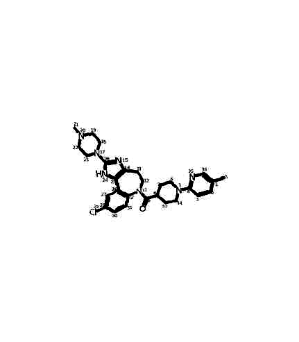 Cc1ccc(N2CCC(C(=O)N3CCc4nc(N5CCN(C)CC5)[nH]c4-c4cc(Cl)ccc43)CC2)nc1